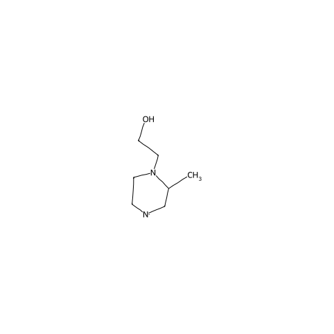 CC1C[N]CCN1CCO